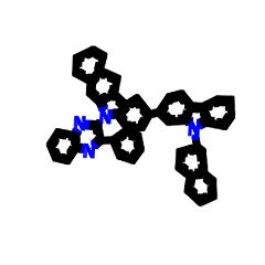 c1ccc(-c2nc3ccccc3nc2-n2c3ccc(-c4ccc5c6ccccc6n(-c6ccc7ccccc7c6)c5c4)cc3c3cc4ccccc4cc32)cc1